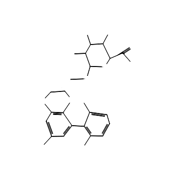 O=C(O)C1OC(OC[C@H]2COc3cc(F)cc(-c4c(Cl)cccc4Cl)c3O2)C(O)C(O)C1O